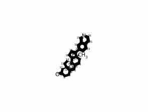 C[C@]12CC=C3C=C4CCC(=O)C[C@]45CC[C@]3(O5)[C@@H]1CC=C2c1ccc2ccncc2c1